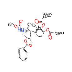 CC(OC(=O)c1ccccc1)C(C)C(c1ccc(OC(=O)C(C)(C)C)c(OC(=O)C(C)(C)C)c1)[C@@H](NC(=O)OC(C)(C)C)C(=O)O